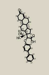 C#C[C@]1(C(Oc2ccc(-c3ccccc3)cc2)C(=O)O)CCC2C3CCC4=CC(=O)CCC4C3CC[C@@]21CC